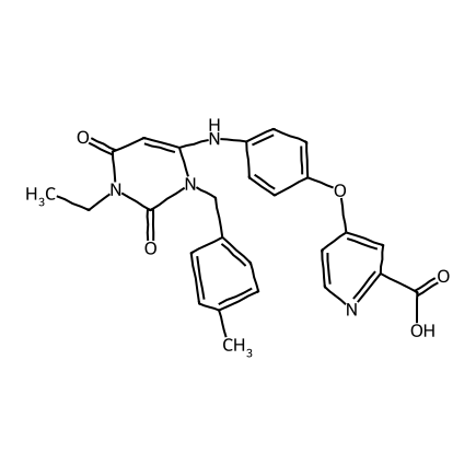 CCn1c(=O)cc(Nc2ccc(Oc3ccnc(C(=O)O)c3)cc2)n(Cc2ccc(C)cc2)c1=O